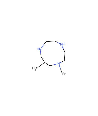 CC1CNCCNCCN(C(C)C)C1